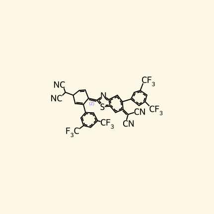 N#CC(C#N)=c1cc2s/c(=C3/C=CC(C(C#N)C#N)C=C3c3cc(C(F)(F)F)cc(C(F)(F)F)c3)nc2cc1-c1cc(C(F)(F)F)cc(C(F)(F)F)c1